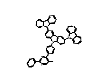 Cc1cnc(-c2ccccc2)nc1-c1ccc(-n2c3ccc(-n4c5ccccc5c5ccccc54)cc3c3cc(-n4c5ccccc5c5ccccc54)ccc32)cc1